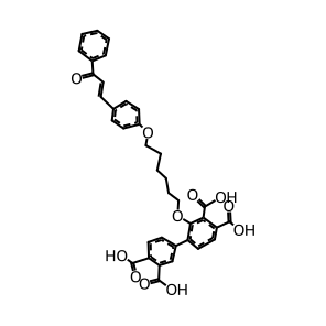 O=C(C=Cc1ccc(OCCCCCCOc2c(-c3ccc(C(=O)O)c(C(=O)O)c3)ccc(C(=O)O)c2C(=O)O)cc1)c1ccccc1